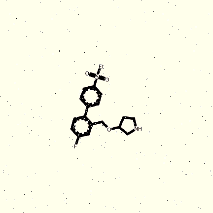 CCS(=O)(=O)c1ccc(-c2ccc(F)cc2COC2CCNC2)cc1